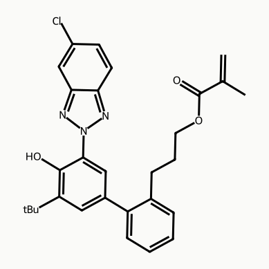 C=C(C)C(=O)OCCCc1ccccc1-c1cc(-n2nc3ccc(Cl)cc3n2)c(O)c(C(C)(C)C)c1